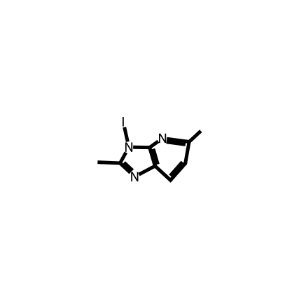 Cc1ccc2nc(C)n(I)c2n1